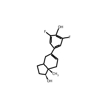 C[C@]12CC=C(c3cc(F)c(O)c(F)c3)CC1CC[C@@H]2O